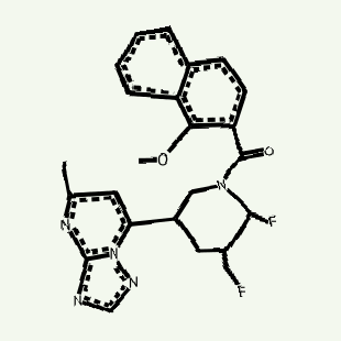 COc1c(C(=O)N2CC(c3cc(C)nc4ncnn34)CC(F)C2F)ccc2ccccc12